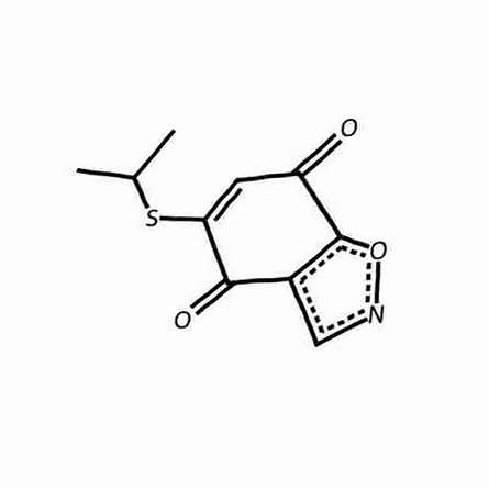 CC(C)SC1=CC(=O)c2oncc2C1=O